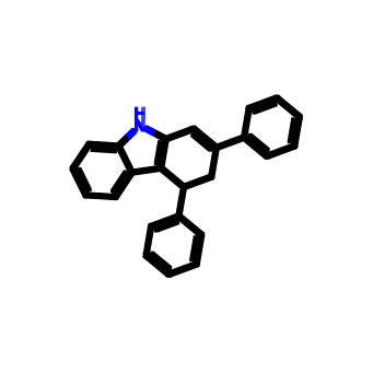 C1=C(c2ccccc2)CC(c2ccccc2)c2c1[nH]c1ccccc21